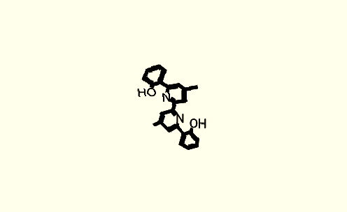 Cc1cc(-c2cc(C)cc(-c3ccccc3O)n2)nc(-c2ccccc2O)c1